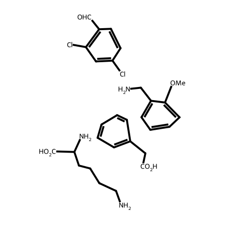 COc1ccccc1CN.NCCCCC(N)C(=O)O.O=C(O)Cc1ccccc1.O=Cc1ccc(Cl)cc1Cl